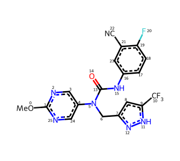 COc1ncc(N(Cc2cc(C(F)(F)F)[nH]n2)C(=O)Nc2ccc(F)c(C#N)c2)cn1